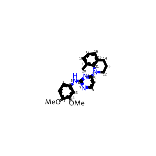 COc1ccc(Nc2nccc(N3CCCc4cccc(C)c43)n2)cc1OC